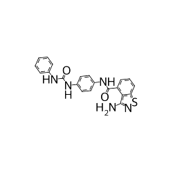 Nc1nsc2cccc(C(=O)Nc3ccc(NC(=O)Nc4ccccc4)cc3)c12